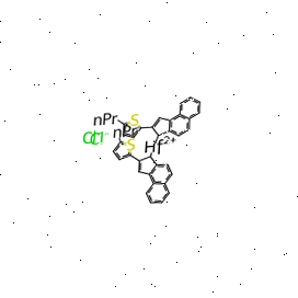 CCCc1ccc(C2=Cc3c(ccc4ccccc34)[CH]2[Hf+2][CH]2C(c3ccc(CCC)s3)=Cc3c2ccc2ccccc32)s1.[Cl-].[Cl-]